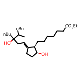 CCCCC(C)C(O)(CC=C1CC[C@H](O)[C@@H]1CCCCCCC(=O)OCC)CCCC